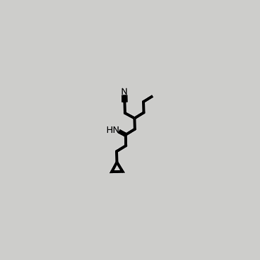 CCCC(CC#N)CC(=N)CCC1CC1